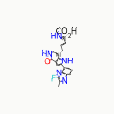 Cc1nc2cccc(-c3cc4c([nH]3)[C@@H](CC=C[C@@H](C)NC(=O)O)CNC4=O)c2nc1F